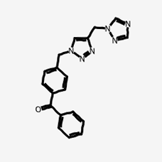 O=C(c1ccccc1)c1ccc(Cn2cc(Cn3cncn3)nn2)cc1